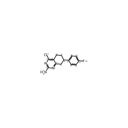 Nc1nc(Cl)c2c(n1)CC(c1ccc(F)cc1)CC2